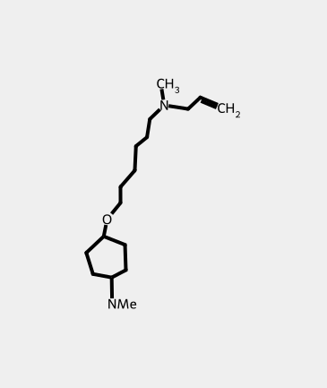 C=CCN(C)CCCCCCOC1CCC(NC)CC1